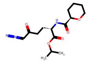 CC(C)OC(=O)[C@H](CCC(=O)C=[N+]=[N-])NC(=O)[C@H]1CCCCO1